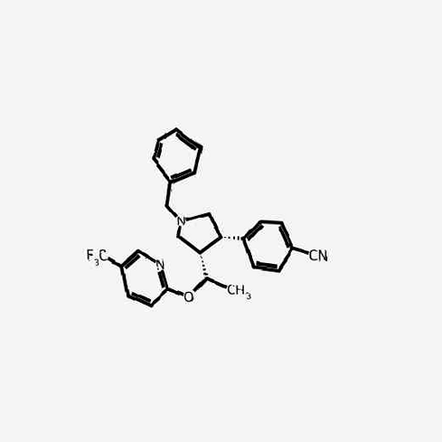 CC(Oc1ccc(C(F)(F)F)cn1)[C@@H]1CN(Cc2ccccc2)C[C@@H]1c1ccc(C#N)cc1